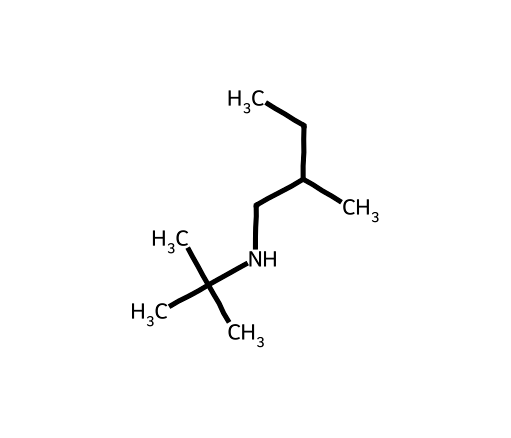 CCC(C)CNC(C)(C)C